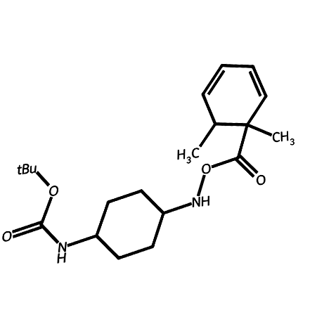 CC1C=CC=CC1(C)C(=O)ONC1CCC(NC(=O)OC(C)(C)C)CC1